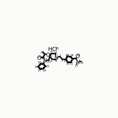 CC1OC2(CCN(CCc3ccc(C(=O)N(C)C)cc3)CC2)CN(c2ccccc2)C1=O.Cl